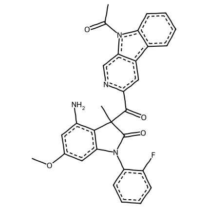 COc1cc(N)c2c(c1)N(c1ccccc1F)C(=O)C2(C)C(=O)c1cc2c3ccccc3n(C(C)=O)c2cn1